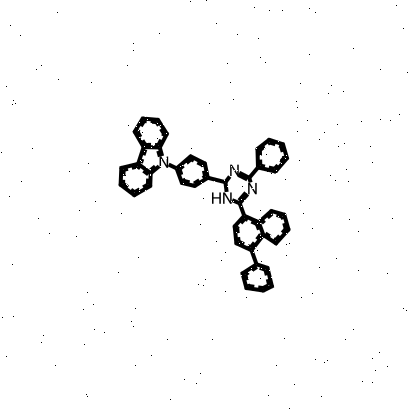 c1ccc(C2=NC(c3ccc(-n4c5ccccc5c5ccccc54)cc3)NC(c3ccc(-c4ccccc4)c4ccccc34)=N2)cc1